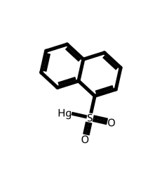 O=[S](=O)([Hg])c1cccc2ccccc12